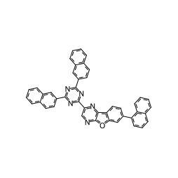 c1ccc2cc(-c3nc(-c4ccc5ccccc5c4)nc(-c4cnc5oc6cc(-c7cccc8ccccc78)ccc6c5n4)n3)ccc2c1